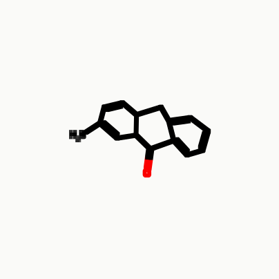 BC1=CC2C(=O)c3ccccc3CC2C=C1